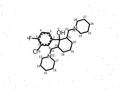 OC1(c2ccc(F)c(Cl)c2)C(CN2CCCCC2)CCCC1CN1CCCCC1